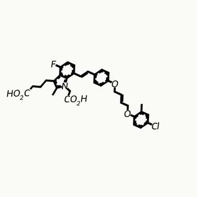 Cc1cc(Cl)ccc1OCC=CCOc1ccc(C=Cc2ccc(F)c3c(CCCC(=O)O)c(C)n(CC(=O)O)c23)cc1